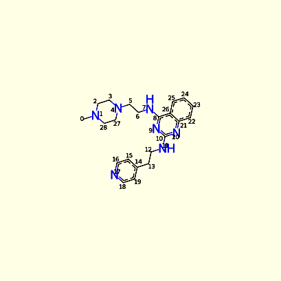 CN1CCN(CCNc2nc(NCCc3ccncc3)nc3ccccc23)CC1